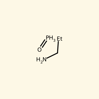 CCCN.O=[PH3]